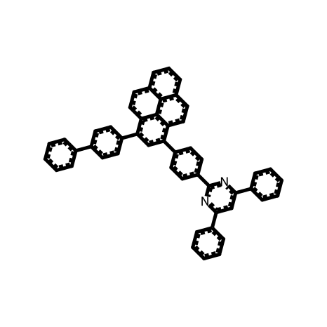 c1ccc(-c2ccc(-c3cc(-c4ccc(-c5nc(-c6ccccc6)cc(-c6ccccc6)n5)cc4)c4ccc5cccc6ccc3c4c65)cc2)cc1